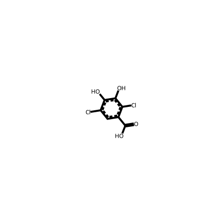 O=C(O)c1cc(Cl)c(O)c(O)c1Cl